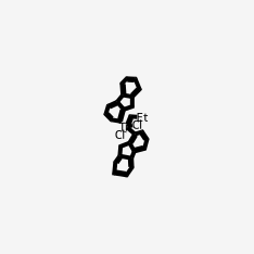 CC[CH]=[Ti]([Cl])([Cl])([c]1cccc2c1Cc1ccccc1-2)[c]1cccc2c1Cc1ccccc1-2